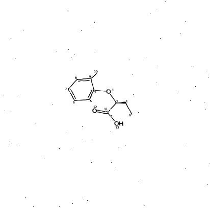 CC[C@H](Oc1ccccc1C)C(=O)O